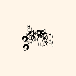 Cc1nc(N2CCC3(CC2)CO[C@@H](C)[C@H]3NC(=O)OC(C)(C)C)c(CO)nc1Sc1ccnc(NC2CCOCC2)c1Cl